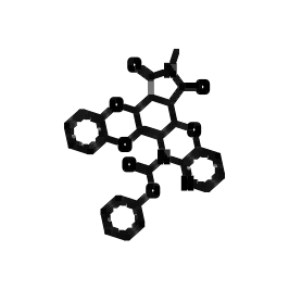 CN1C(=O)C2C3Oc4ccccc4OC3=C3C(Oc4cccnc4N3C(=O)Oc3ccccc3)C2C1=O